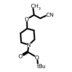 CC(CC#N)OC1CCN(C(=O)OC(C)(C)C)CC1